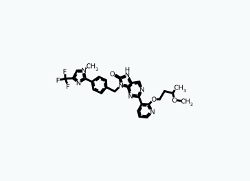 COC(C)CCOc1ncccc1-c1ncc2[nH]c(=O)n(Cc3ccc(-c4nc(C(F)(F)F)cn4C)cc3)c2n1